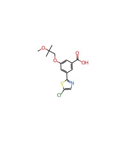 COC(C)(C)COc1cc(C(=O)O)cc(-c2ncc(Cl)s2)c1